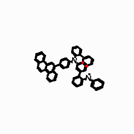 CN(c1ccccc1)c1ccccc1-c1cccc(N(c2ccc(-c3cc4c5ccccc5ccc4c4ccccc34)cc2)c2ccccc2-c2ccccc2)c1